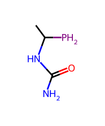 CC(P)NC(N)=O